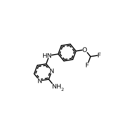 Nc1nccc(Nc2ccc(OC(F)F)cc2)n1